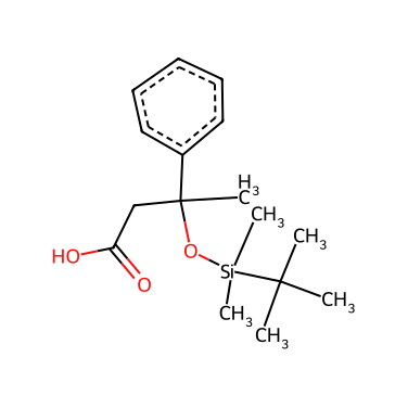 CC(CC(=O)O)(O[Si](C)(C)C(C)(C)C)c1ccccc1